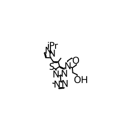 Cc1c(-c2ccn(C(C)C)n2)sc2nc(-c3nccn3C)nc(N3CCOCC3CCO)c12